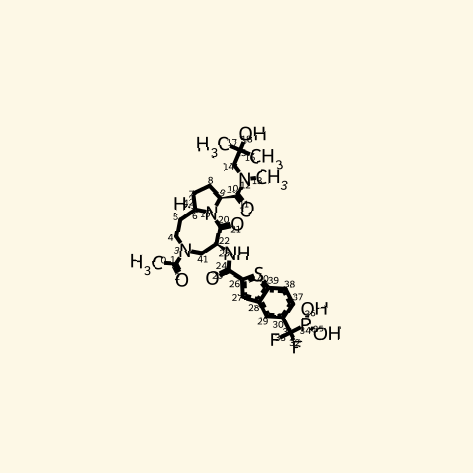 CC(=O)N1CC[C@H]2CC[C@@H](C(=O)N(C)CC(C)(C)O)N2C(=O)[C@@H](NC(=O)c2cc3cc(C(F)(F)P(O)O)ccc3s2)C1